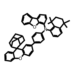 CC1(C)CCC(C)(C)c2c(N(c3ccc(-c4ccc5c(c4)C4(c6ccccc6O5)C5CC6CC(C5)CC4C6)cc3)c3cccc4c3oc3ccccc34)cccc21